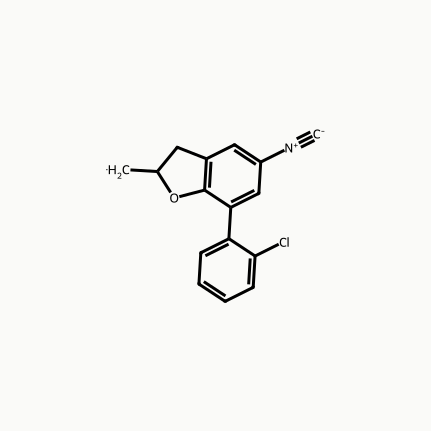 [C-]#[N+]c1cc2c(c(-c3ccccc3Cl)c1)OC([CH2])C2